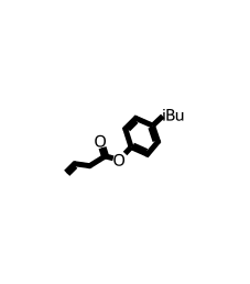 C=CCC(=O)Oc1ccc(C(C)CC)cc1